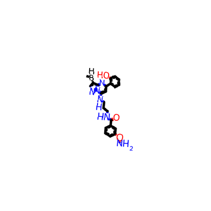 CBc1cnn2c(NCCCNC(=O)c3cccc(ON)c3)cc(-c3ccccc3O)nc12